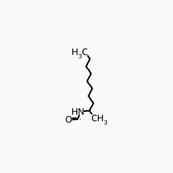 CCCCCCCCC(C)N[C]=O